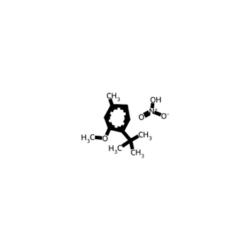 COc1cc(C)ccc1C(C)(C)C.O=[N+]([O-])O